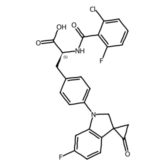 O=C(N[C@@H](Cc1ccc(N2CC3(CC3=O)c3ccc(F)cc32)cc1)C(=O)O)c1c(F)cccc1Cl